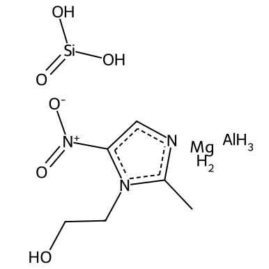 Cc1ncc([N+](=O)[O-])n1CCO.O=[Si](O)O.[AlH3].[MgH2]